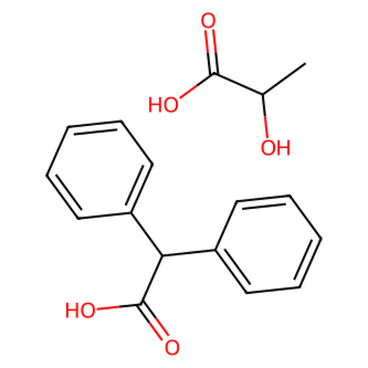 CC(O)C(=O)O.O=C(O)C(c1ccccc1)c1ccccc1